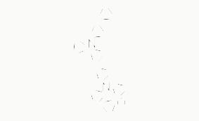 c1ccc(-c2ccc(-n3c4ccccc4c4cc(-c5ccc(N(c6ccccc6)c6cccc7oc8ccccc8c67)cc5)ccc43)cc2)cc1